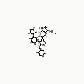 Nc1n[nH]c2ccc(N3N=NC(Cc4ccccc4)C3c3cccc(-n4cccn4)c3)cc12